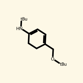 CC(C)(C)NC1=CC=C(COC(C)(C)C)CC1